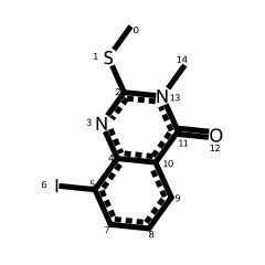 CSc1nc2c(I)cccc2c(=O)n1C